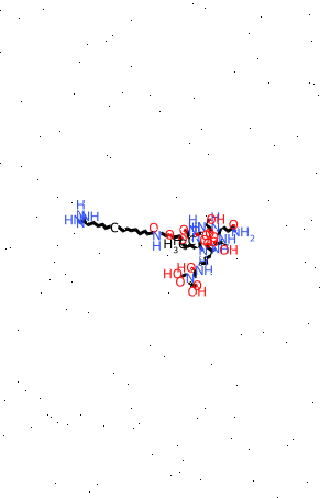 CCCC[C@H](NC(=O)[C@H](CCCCNC(O)CN(CC(=O)O)CC(=O)O)NC(=O)[C@H](CO)NC(=O)[C@H](CCC(N)=O)NC(=O)[C@H](CO)NC(=O)CNC(=O)COCCOCCNC(=O)CCCCCCCCCCCCCCCC1=NNNN1)C(=O)NC